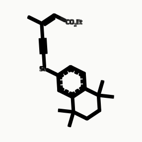 CCOC(=O)C=C(C)C#C[Se]c1ccc2c(c1)C(C)(C)CCC2(C)C